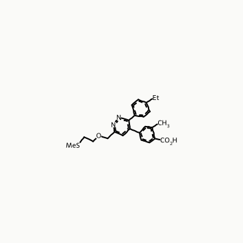 CCc1ccc(-c2nnc(COCCSC)cc2-c2ccc(C(=O)O)c(C)c2)cc1